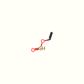 C=CO[SH]=O